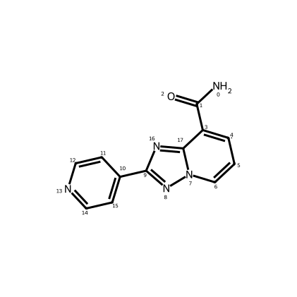 NC(=O)c1[c]ccn2nc(-c3ccncc3)nc12